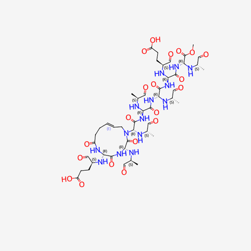 COC(=O)[C@@H](NC(=O)[C@@H](NC(=O)[C@@H](NC(=O)[C@@H](NC(=O)[C@H](N[C@@H](C)C=O)N1C/C=C/CCC(=O)N[C@@H](N[C@H](C=O)CCC(=O)O)C(=O)N[C@@H](N[C@@H](C)C=O)C1=O)N[C@@H](C)C=O)N[C@@H](C)C=O)N[C@H](C=O)CCC(=O)O)N[C@@H](C)C=O